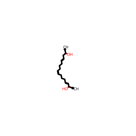 C#CC(O)C=CCCC/C=C\CCCC=CCC(O)C#C